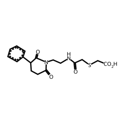 O=C(O)CSCC(=O)NCCN1C(=O)CCC(c2ccccc2)C1=O